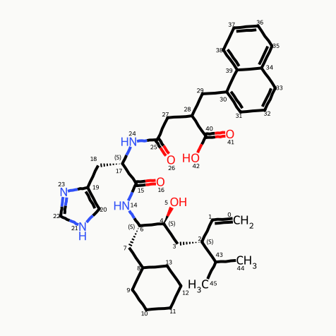 C=C[C@@H](C[C@H](O)[C@H](CC1CCCCC1)NC(=O)[C@H](Cc1c[nH]cn1)NC(=O)CC(Cc1cccc2ccccc12)C(=O)O)C(C)C